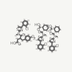 CN(C(=O)[C@H]1CC=CC[C@H]1C(=O)O)c1nc(-c2ccccc2Cl)cs1.CN(C(=O)[C@H]1CCCC[C@H]1C(=O)O)c1nc(-c2ccccc2Cl)cs1.COc1ccc(CC(CC(=O)O)C(=O)N(C)c2nc(-c3ccccc3Cl)cs2)cc1